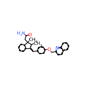 CC1C(=Cc2ccc(OCc3ccc4ccccc4n3)cc2)c2ccccc2C1(C)CC(N)=O